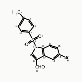 Cc1ccc(S(=O)(=O)n2cc(C=O)c3cc(Br)ccc32)cc1